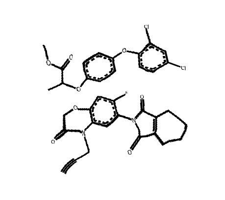 C#CCN1C(=O)COc2cc(F)c(N3C(=O)C4=C(CCCC4)C3=O)cc21.COC(=O)C(C)Oc1ccc(Oc2ccc(Cl)cc2Cl)cc1